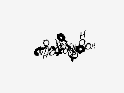 CC(C)CN(C[C@@H](O)[C@H](Cc1ccccc1)NC(=O)[C@@H](NC(=O)CNC(=O)c1ccccn1)C(C)(C)C)S(=O)(=O)c1ccc(O)c(O)c1